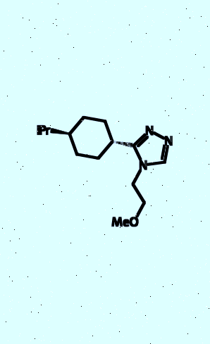 COCCn1cnnc1[C@H]1CC[C@H](C(C)C)CC1